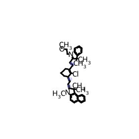 COCC[N+]1=C(/C=C/C2=C(Cl)C(=C/C=C3/N(C)c4ccc5ccccc5c4C3(C)C)/CCC2)C(C)(C)c2ccccc21